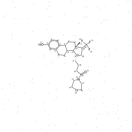 C[C@]12CCC3c4ccc(O)cc4CCC3C1[C@@H](CCCC(=O)N1CCOCC1)CC2C(F)(F)F